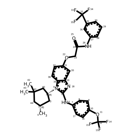 C[C@H]1C[C@@H](n2c(Nc3ccc(OC(F)(F)F)cc3)nc3cc(OCC(=O)Nc4cccc(C(F)(F)F)c4)ccc32)CC(C)(C)C1